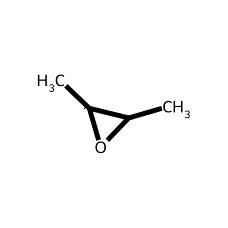 C[C]1OC1C